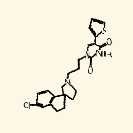 O=c1[nH]c(=O)n(CCCN2CCC3(CCc4cc(Cl)ccc43)C2)cc1-c1cccs1